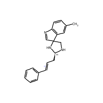 Cc1ccc2c(c1)C1(C=N2)CN[C@@H](C/C=C/c2ccccc2)N1